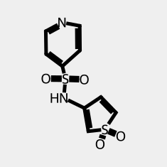 O=S1(=O)C=CC(NS(=O)(=O)c2ccncc2)=C1